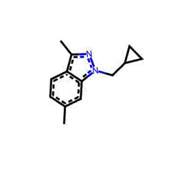 Cc1ccc2c(C)nn(CC3CC3)c2c1